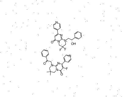 CC1(C)CN(CC(=O)c2ccccc2)c2nc(-c3ccncc3)c(F)c(=O)n2C1.O=c1cc(-c2ccncc2)nc2n1CC(F)(F)CN2C[C@@H](O)c1ccccc1